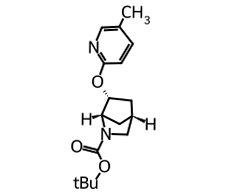 Cc1ccc(O[C@@H]2C[C@H]3C[C@@H]2N(C(=O)OC(C)(C)C)C3)nc1